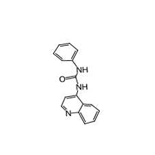 O=C(Nc1ccccc1)Nc1ccnc2ccccc12